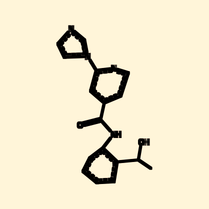 CC(O)c1ccccc1NC(=O)c1ccnc(-n2ccnc2)c1